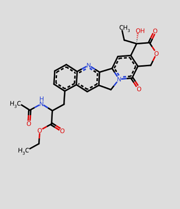 CCOC(=O)C(Cc1cccc2nc3c(cc12)Cn1c-3cc2c(c1=O)COC(=O)[C@]2(O)CC)NC(C)=O